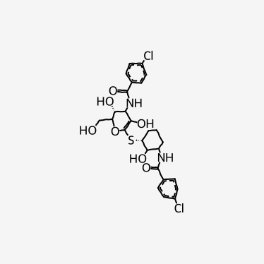 O=C(NC1CCC[C@@H](SC2=C(O)C(NC(=O)c3ccc(Cl)cc3)[C@@H](O)C(CO)O2)C1O)c1ccc(Cl)cc1